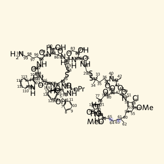 CCCC(=O)N[C@H](Cc1ccccc1)C(=O)N[C@H]1CSSC[C@@H](C(=O)N[C@H](C(=O)NCCSSC(C)(C)CCC(=O)N(C)[C@@H](C)C(=O)O[C@H]2CC(=O)N(C)c3cc(cc(OC)c3Cl)C/C(C)=C/C=C/[C@@H](OC)[C@@]3(O)C[C@H](OC(=O)N3)[C@@H](C)C3O[C@]32C)[C@@H](C)O)NC(=O)[C@H]([C@@H](C)O)NC(=O)[C@H](CCCCN)NC(=O)[C@@H](Cc2c[nH]c3ccccc23)NC(=O)[C@H](Cc2ccc(O)cc2)NC1=O